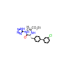 CCOC(=O)C(C)N[C@H](Cc1ccc(-c2cccc(Cl)c2)cc1)C(=O)Nc1nnn[nH]1